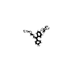 CCOC=NN=C(c1ccc(Cl)cc1)c1ccc(OS(=O)(=O)C(F)(F)F)cc1